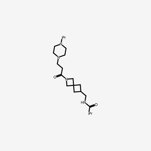 CC(C)C(=O)NCC1CC2(C1)CN(C(=O)CCN1CCN(C(C)C)CC1)C2